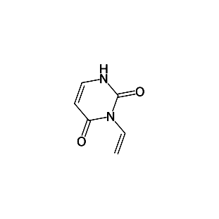 C=Cn1c(=O)cc[nH]c1=O